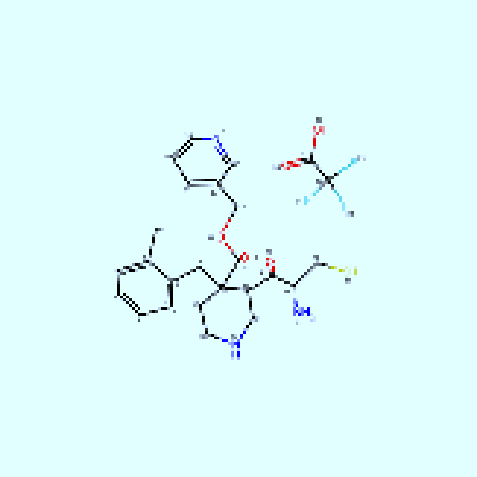 Cc1ccccc1CC1(C(=O)OCc2cccnc2)CCNCC1C(=O)[C@@H](N)CS.O=C(O)C(F)(F)F